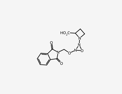 O=C(O)C1CCN1n1on1OCN1C(=O)c2ccccc2C1=O